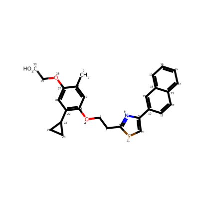 Cc1cc(OCCc2nc(-c3ccc4ccccc4c3)cs2)c(C2CC2)cc1OCC(=O)O